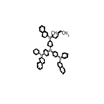 C=C(/C=C\C=C/C)N(c1ccc(N(c2ccc(N(c3ccccc3)c3ccc4ccccc4c3)cc2)c2ccc(N(c3ccccc3)c3ccc4ccccc4c3)cc2)cc1)c1ccc2ccccc2c1